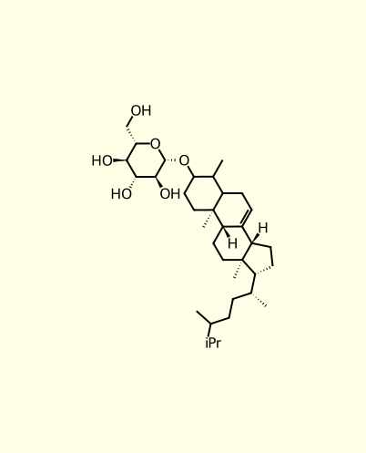 CC(C)C(C)CC[C@@H](C)[C@H]1CC[C@H]2C3=CCC4C(C)C(O[C@H]5O[C@@H](CO)[C@H](O)[C@@H](O)[C@@H]5O)CC[C@]4(C)[C@H]3CC[C@]12C